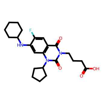 O=C(O)CCCn1c(=O)c2cc(F)c(NC3CCCCC3)cc2n(C2CCCC2)c1=O